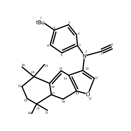 C#CN(c1ccc(C(C)(C)C)cc1)c1coc2c1C=C1C(C2)C(C)(C)CCC1(C)C